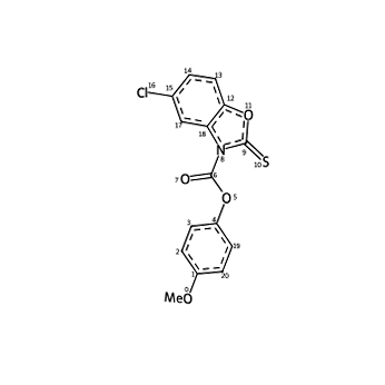 COc1ccc(OC(=O)n2c(=S)oc3ccc(Cl)cc32)cc1